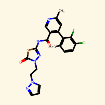 COc1ccc(Cl)c(F)c1-c1cc(C)ncc1C(=O)Nc1nn(CCn2cccn2)c(=O)s1